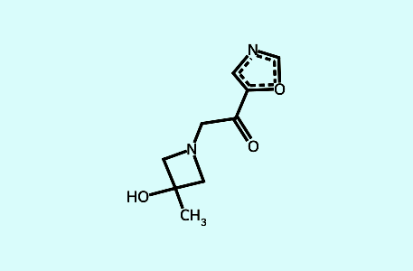 CC1(O)CN(CC(=O)c2cnco2)C1